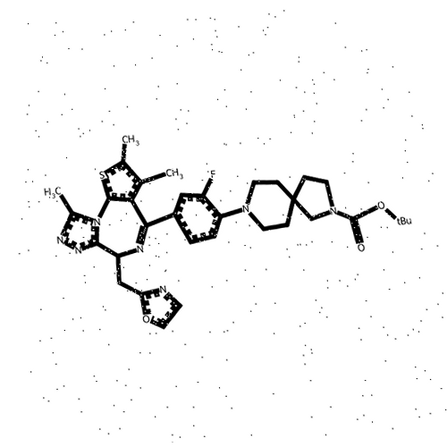 Cc1sc2c(c1C)C(c1ccc(N3CCC4(CCN(C(=O)OC(C)(C)C)C4)CC3)c(F)c1)=NC(Cc1ncco1)c1nnc(C)n1-2